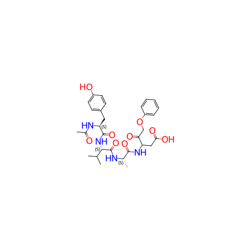 CC(=O)N[C@@H](Cc1ccc(O)cc1)C(=O)N[C@H](C(=O)N[C@@H](C)C(=O)NC(CC(=O)O)C(=O)COc1ccccc1)C(C)C